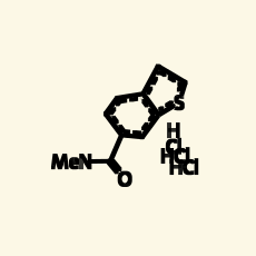 CNC(=O)c1ccc2ccsc2c1.Cl.Cl.Cl